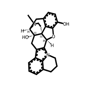 CN1CC[C@]23c4c5ccc(O)c4O[C@H]2c2c(c4cccc6c4n2CCC6)C[C@@]3(O)[C@H]1C5